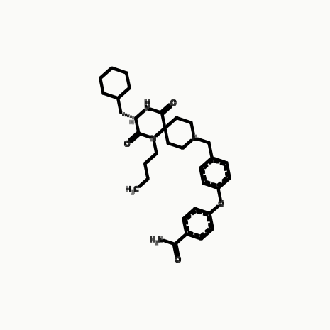 CCCCN1C(=O)[C@H](CC2CCCCC2)NC(=O)C12CCN(Cc1ccc(Oc3ccc(C(N)=O)cc3)cc1)CC2